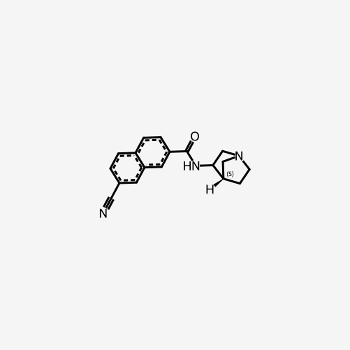 N#Cc1ccc2ccc(C(=O)NC3CN4CC[C@H]3C4)cc2c1